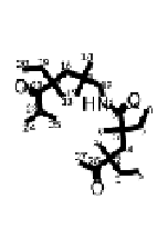 CCC(C)(CC(C)(CC)C(=O)NCC(C)(C)CC(C)(CC)C(=O)C(C)C)C(C)=O